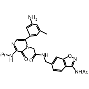 CC(=O)Nc1noc2cc(CNC(=O)Cn3c(-c4cc(C)cc(N)c4)cnc(NC(C)C)c3=O)ccc12